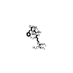 CC[C@H](C)[C@H](NC(=O)[C@@H](N)CCC/N=C(\N)N(C)C)C(=O)N[C@@H](Cc1ccccc1)C(N)=O